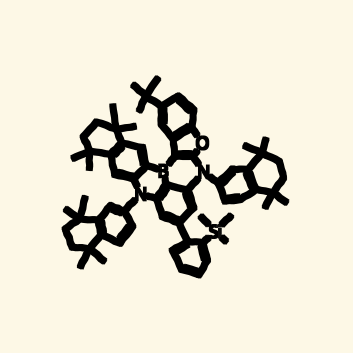 CC(C)(C)c1ccc2oc3c(c2c1)B1c2cc4c(cc2N(c2ccc5c(c2)C(C)(C)CCC5(C)C)c2cc(-c5ccccc5[Si](C)(C)C)cc(c21)N3c1ccc2c(c1)C(C)(C)CCC2(C)C)C(C)(C)CCC4(C)C